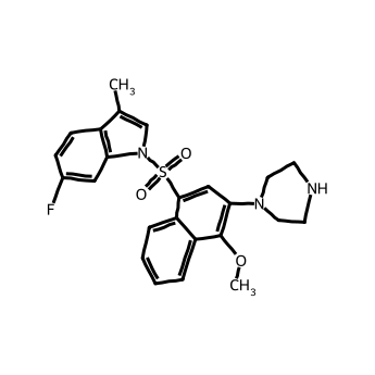 COc1c(N2CCNCC2)cc(S(=O)(=O)n2cc(C)c3ccc(F)cc32)c2ccccc12